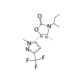 CCC(C)N1C(=O)O[C@@H](c2cc(C(F)(F)F)nn2C)[C@H]1C